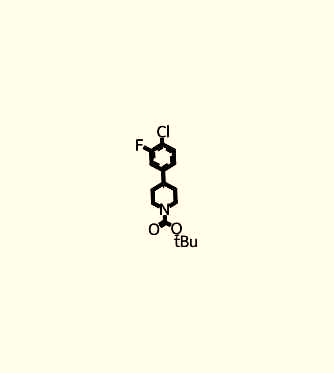 CC(C)(C)OC(=O)N1CC[C](c2ccc(Cl)c(F)c2)CC1